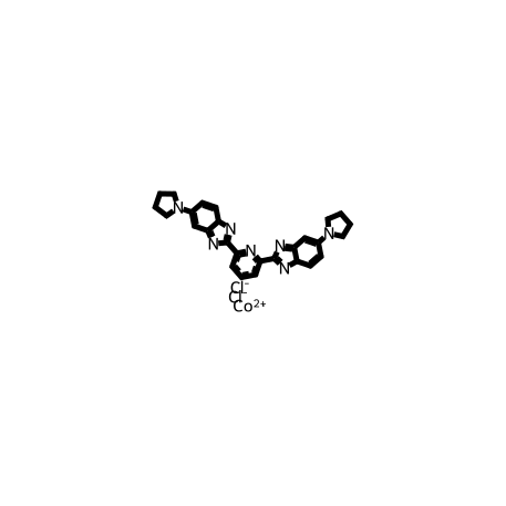 C1=CC2N=C(c3cccc(C4=NC5C=CC(N6CCCC6)=CC5=N4)n3)N=C2C=C1N1CCCC1.[Cl-].[Cl-].[Co+2]